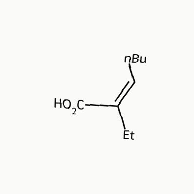 CCCCC=C(CC)C(=O)O